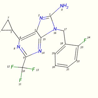 Nc1nc2c(C3CC3)nc(C(F)(F)F)nc2n1Cc1ccccc1F